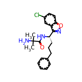 CC(C)(N)C(=O)N[C@@H](CCCc1ccccc1)c1noc2ccc(Cl)cc12